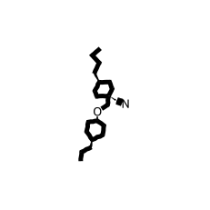 CCCC[C@H]1CC[C@@](C#N)(CO[C@H]2CC[C@H](CCC)CC2)CC1